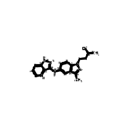 Cc1nn(CCC(C)Cl)c2ccc(Nc3n[nH]c4cccnc34)cc12